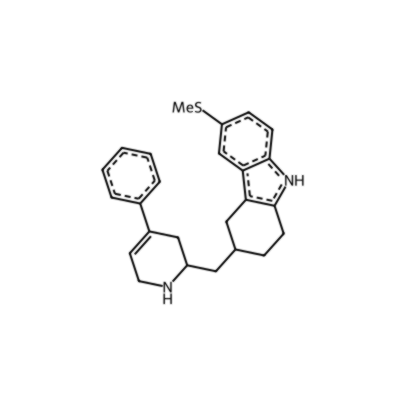 CSc1ccc2[nH]c3c(c2c1)CC(CC1CC(c2ccccc2)=CCN1)CC3